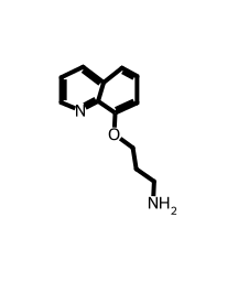 NCCCOc1cccc2cccnc12